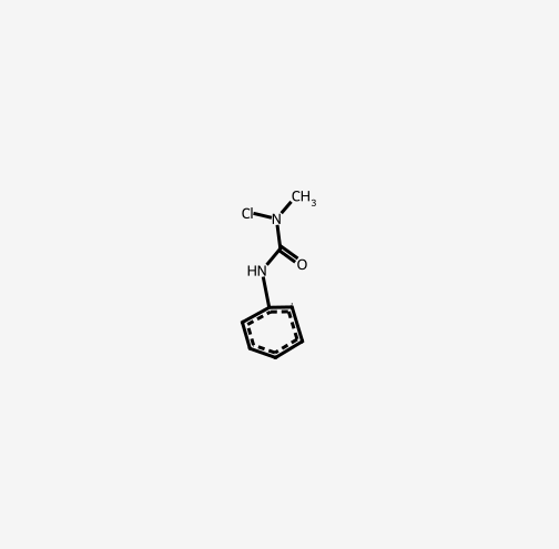 CN(Cl)C(=O)Nc1[c]cccc1